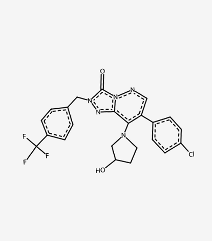 O=c1n(Cc2ccc(C(F)(F)F)cc2)nc2c(N3CCC(O)C3)c(-c3ccc(Cl)cc3)cnn12